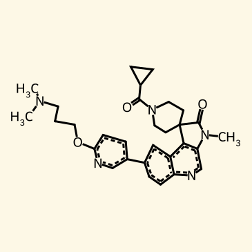 CN(C)CCCOc1ccc(-c2ccc3ncc4c(c3c2)C2(CCN(C(=O)C3CC3)CC2)C(=O)N4C)cn1